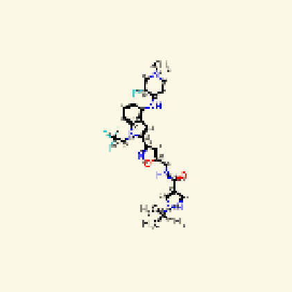 CN1CC[C@@H](Nc2cccc3c2cc(-c2cc(CNC(=O)c4cnn(C(C)(C)C)c4)on2)n3CC(F)(F)F)[C@@H](F)C1